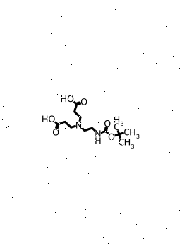 CC(C)(C)OC(=O)NCCN(CCC(=O)O)CCC(=O)O